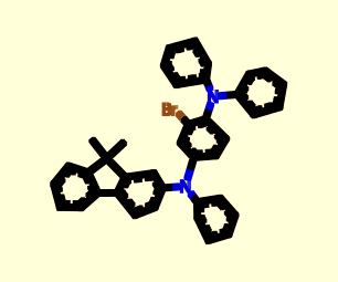 CC1(C)c2ccccc2-c2ccc(N(c3ccccc3)c3ccc(N(c4ccccc4)c4ccccc4)c(Br)c3)cc21